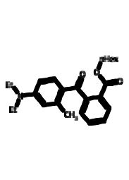 CCCCCCOC(=O)c1ccccc1C(=O)c1ccc(N(CC)CC)cc1C